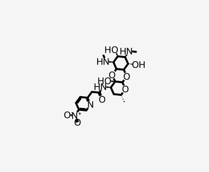 CN[C@@H]1[C@H](O)[C@H](NC)C2O[C@]3(O)C(OC2[C@H]1O)O[C@H](C)C[C@H]3NC(=O)Cc1ccc([N+](=O)[O-])cn1